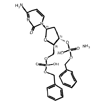 N.Nc1ccn([C@H]2C[C@H](OP(=O)(O)OCc3ccccc3)[C@@H](COP(=O)(O)OCc3ccccc3)O2)c(=O)n1